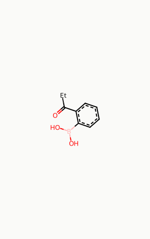 CCC(=O)c1ccccc1B(O)O